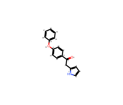 O=C(Cc1ccc[nH]1)c1ccc(Oc2ccccc2)cc1